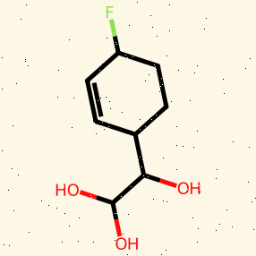 OC(O)C(O)C1C=CC(F)CC1